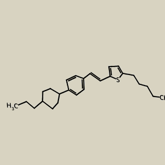 CCCCCc1ccc(C=Cc2ccc(C3CCC(CCC)CC3)cc2)s1